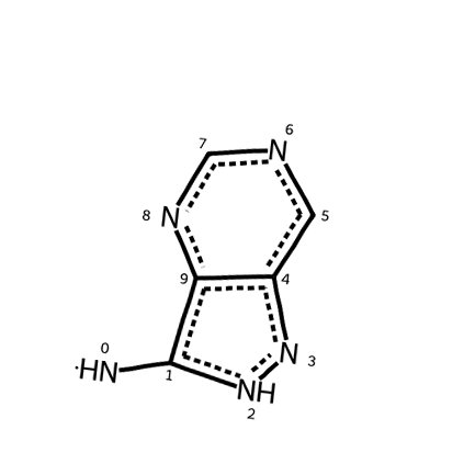 [NH]c1[nH]nc2cncnc12